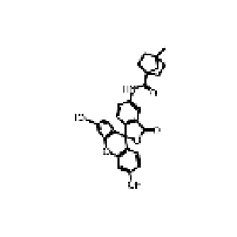 CC12CCC(C(=O)Nc3ccc4c(c3)C(=O)OC43c4ccc(O)cc4Oc4cc(O)ccc43)(CC1)C2